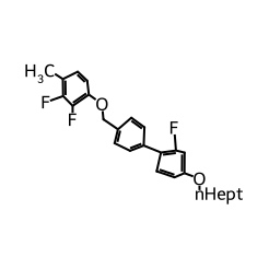 CCCCCCCOc1ccc(-c2ccc(COc3ccc(C)c(F)c3F)cc2)c(F)c1